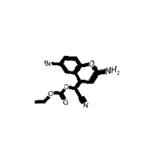 CCOC(=O)OC(C#N)C1C=C(N)Oc2ccc(Br)cc21